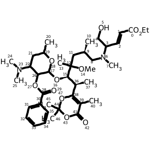 CCOC(=O)/C=C/C(CO)N(C)C[C@H](C)CC(C)(OC)[C@H](OC1OC(C)CC(N(C)C)C1OC(=O)c1ccccc1)[C@@H](C)C1=C(C)C(=O)OC(C)(C)O1